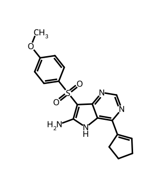 COc1ccc(S(=O)(=O)c2c(N)[nH]c3c(C4=CCCC4)ncnc23)cc1